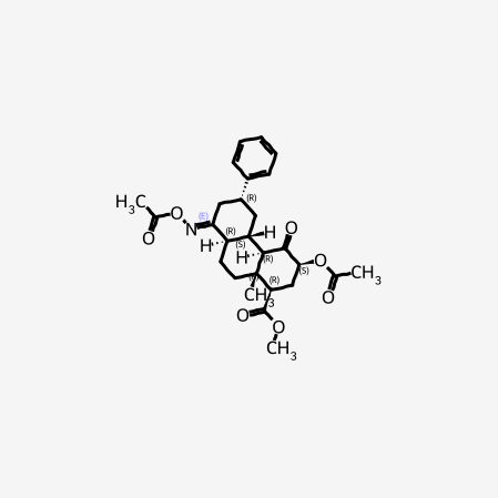 COC(=O)[C@@H]1C[C@H](OC(C)=O)C(=O)[C@@H]2[C@H]3C[C@@H](c4ccccc4)C/C(=N\OC(C)=O)[C@@H]3CC[C@]21C